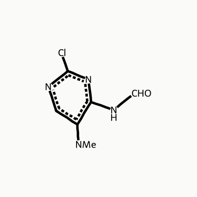 CNc1cnc(Cl)nc1NC=O